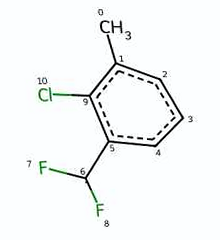 Cc1cccc([C](F)F)c1Cl